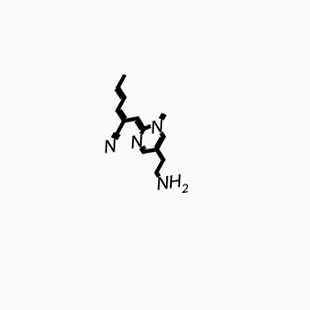 C=N\C=C(/C=N\C(C)=C/C(C#N)=C\C=C\C)CCN